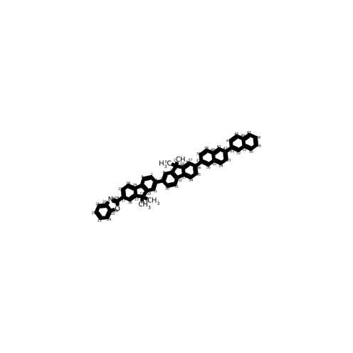 CC1(C)c2cc(-c3ccc4c(c3)C(C)(C)c3cc(-c5nc6ccccc6o5)ccc3-4)ccc2-c2ccc(-c3ccc4cc(-c5ccc6ccccc6c5)ccc4c3)cc21